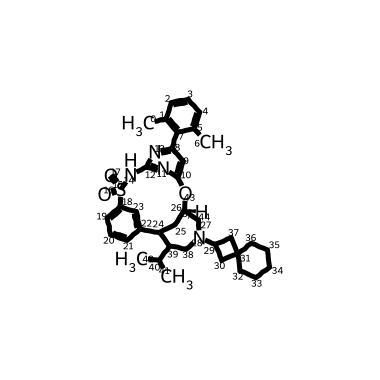 Cc1cccc(C)c1-c1cc2nc(n1)NS(=O)(=O)c1cccc(c1)C1C[C@@H](CN(C3CC4(CCCCC4)C3)CC1C(C)C)O2